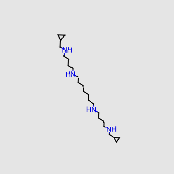 C(CCCNCCCCNCC1CC1)CCCNCCCCNCC1CC1